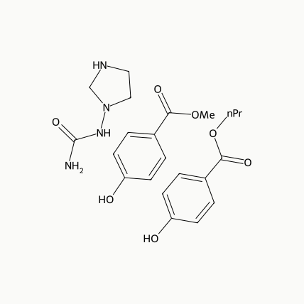 CCCOC(=O)c1ccc(O)cc1.COC(=O)c1ccc(O)cc1.NC(=O)NN1CCNC1